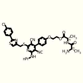 [C-]#[N+]c1c(NCCC)nc(SCc2csc(-c3ccc(Cl)cc3)n2)c(C#N)c1-c1ccc(OCCOC(=O)[C@H](C)NC(=O)[C@H](C)N)cc1